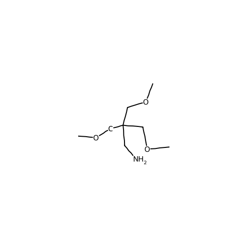 COCC(CN)(COC)COC